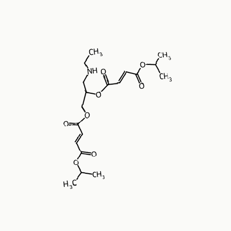 CCNCC(COC(=O)/C=C/C(=O)OC(C)C)OC(=O)/C=C/C(=O)OC(C)C